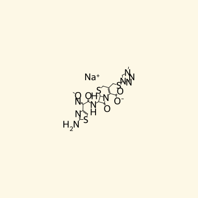 CO/N=C(\C(=O)NC1C(=O)N2C(C(=O)[O-])=C(CSN3CN(C)N=N3)CS[C@H]12)c1csc(N)n1.[Na+]